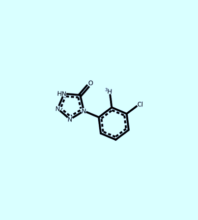 [3H]c1c(Cl)cccc1-n1nn[nH]c1=O